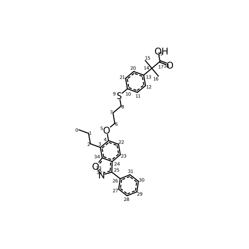 CCCc1c(OCCCSc2ccc(C(C)(C)C(=O)O)cc2)ccc2c(-c3ccccc3)noc12